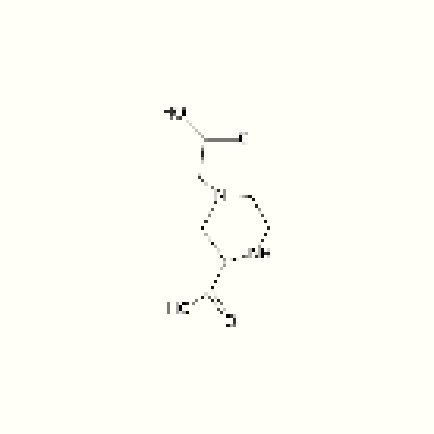 O=C(O)CN1CCNC(C(=O)O)C1